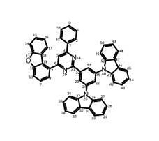 c1ccc(-c2cc(-c3cccc4oc5ccccc5c34)nc(-c3cc(-n4c5ccccc5c5ccccc54)cc(-n4c5ccccc5c5ccccc54)c3)n2)cc1